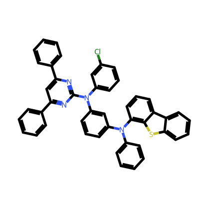 Clc1cccc(N(c2cccc(N(c3ccccc3)c3cccc4c3sc3ccccc34)c2)c2nc(-c3ccccc3)cc(-c3ccccc3)n2)c1